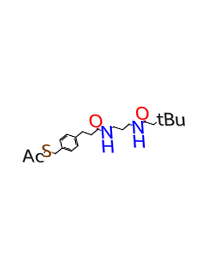 CC(=O)SCc1ccc(CCC(=O)NCCCNC(=O)CC(C)(C)C)cc1